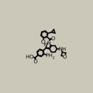 O=C(O)c1ccc(-c2nn(C(=O)c3c(Cl)cccc3C3CC3)c3c2CCC(NC2COC2)C3)c(P)c1